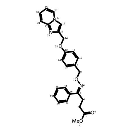 COC(=O)CC/C(=N/OCc1ccc(OCc2cn3ccccc3n2)cc1)c1ccccc1